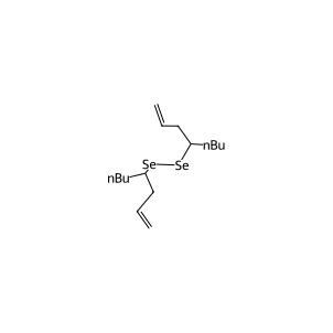 C=CCC(CCCC)[Se][Se]C(CC=C)CCCC